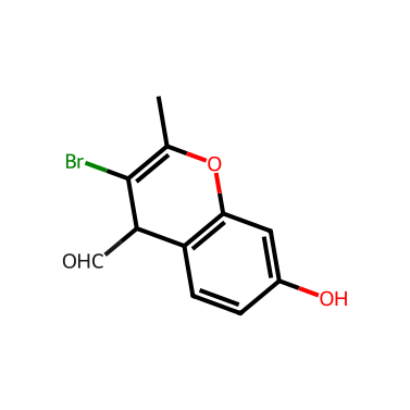 CC1=C(Br)C(C=O)c2ccc(O)cc2O1